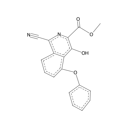 COC(=O)c1nc(C#N)c2cccc(Oc3ccccc3)c2c1O